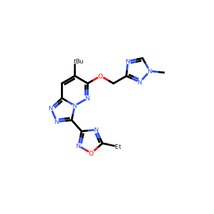 CCc1nc(-c2nnc3cc(C(C)(C)C)c(OCc4ncn(C)n4)nn23)no1